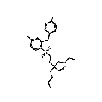 CCCCC(C=O)(CCCC)CCS(=O)(=O)c1ccc(C)cc1Cc1ccc(F)cc1